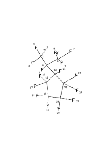 FC(F)(F)C(F)(C(F)(F)Br)C1(F)C(F)(F)C(F)(F)C(F)(F)C1(F)F